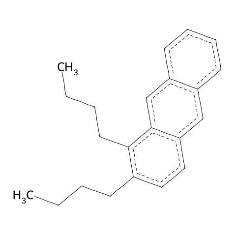 CCCCc1ccc2cc3ccccc3cc2c1CCCC